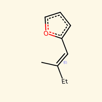 CC/C(C)=C/c1ccco1